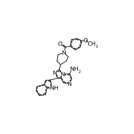 COc1ccc(C(=O)N2CCC(c3nc(-c4cc5ccccc5[nH]4)c4cncc(N)n34)CC2)cc1